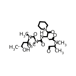 CC(C=O)N(C)C(=O)C[C@H](NC(=O)N(C)C(=O)N(C)C(=O)C[C@@H](C)O)C(=O)N1CCCCC1